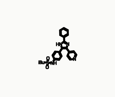 CCC(C)S(=O)(=O)Nc1ccc(-c2[nH]c(-c3ccccc3)nc2-c2ccncc2)cc1